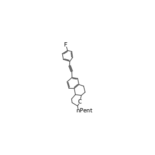 CCCCCC1CCC2c3ccc(C#Cc4ccc(F)cc4)cc3CCC2C1